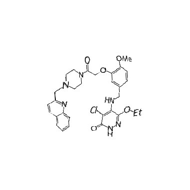 CCOc1n[nH]c(=O)c(Cl)c1NCc1ccc(OC)c(OCC(=O)N2CCN(Cc3ccc4ccccc4n3)CC2)c1